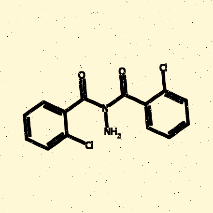 NN(C(=O)c1ccccc1Cl)C(=O)c1ccccc1Cl